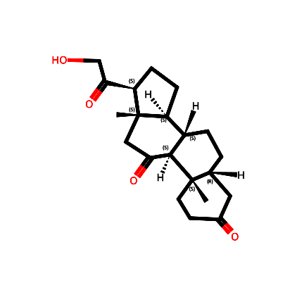 C[C@]12CCC(=O)C[C@H]1CC[C@H]1[C@@H]3CC[C@H](C(=O)CO)[C@@]3(C)CC(=O)[C@@H]12